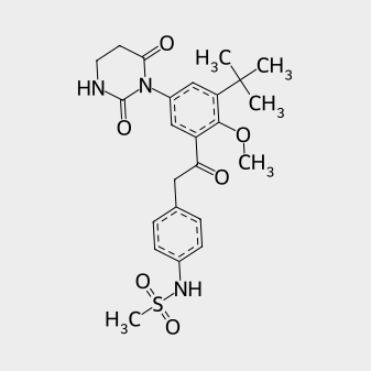 COc1c(C(=O)Cc2ccc(NS(C)(=O)=O)cc2)cc(N2C(=O)CCNC2=O)cc1C(C)(C)C